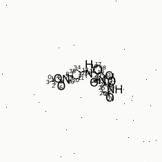 CC(C)(C)OC(=O)N1CC2(CCC(CNc3cccc4c3C(=O)N(C3CCC(=O)NC3=O)C4=O)CC2)C1